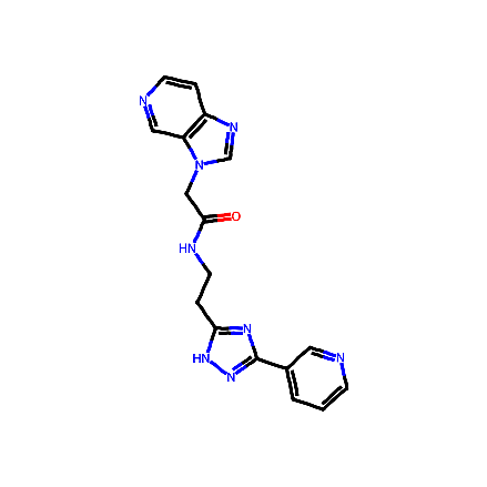 O=C(Cn1cnc2ccncc21)NCCc1nc(-c2cccnc2)n[nH]1